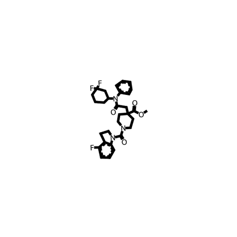 COC(=O)C1(CC(=O)N(c2ccccc2)C2CCCC(F)(F)C2)CCN(C(=O)N2CCc3c(F)cccc32)CC1